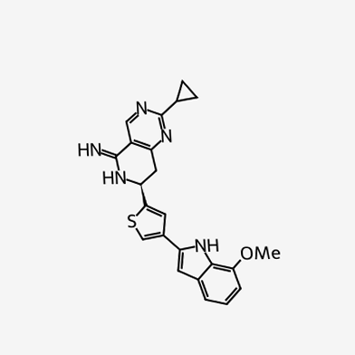 COc1cccc2cc(-c3csc([C@@H]4Cc5nc(C6CC6)ncc5C(=N)N4)c3)[nH]c12